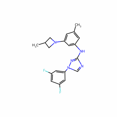 Cc1cc(Nc2ncn(-c3cc(F)cc(F)c3)n2)cc(N2CC(C)C2)c1